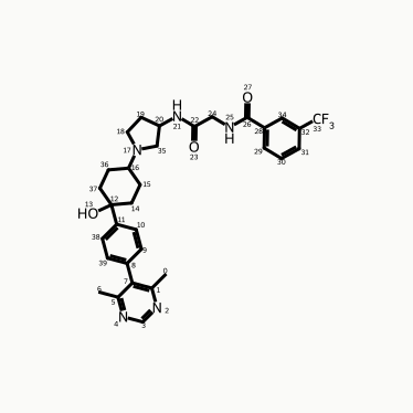 Cc1ncnc(C)c1-c1ccc(C2(O)CCC(N3CCC(NC(=O)CNC(=O)c4cccc(C(F)(F)F)c4)C3)CC2)cc1